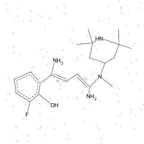 CN(/C(N)=C/C=C(\N)c1cccc(F)c1O)C1CC(C)(C)NC(C)(C)C1